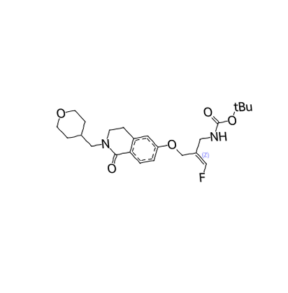 CC(C)(C)OC(=O)NC/C(=C/F)COc1ccc2c(c1)CCN(CC1CCOCC1)C2=O